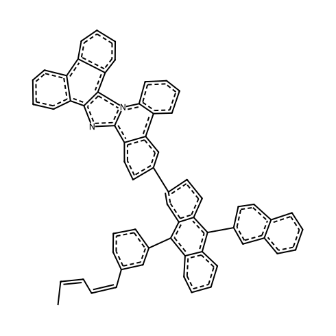 C/C=C\C=C/c1cccc(-c2c3ccccc3c(-c3ccc4ccccc4c3)c3ccc(-c4ccc5c(c4)c4ccccc4n4c5nc5c6ccccc6c6ccccc6c54)cc23)c1